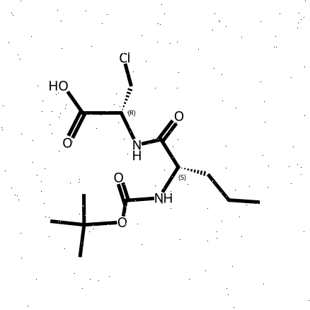 CCC[C@H](NC(=O)OC(C)(C)C)C(=O)N[C@@H](CCl)C(=O)O